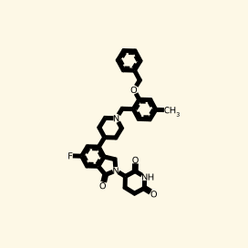 Cc1ccc(CN2CCC(c3cc(F)cc4c3CN(C3CCC(=O)NC3=O)C4=O)CC2)c(OCc2ccccc2)c1